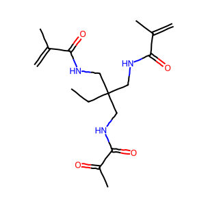 C=C(C)C(=O)NCC(CC)(CNC(=O)C(=C)C)CNC(=O)C(C)=O